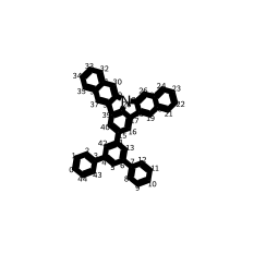 c1ccc(-c2cc(-c3ccccc3)cc(-c3cc4c5cc6ccccc6cc5n5c6cc7ccccc7cc6c(c3)c45)c2)cc1